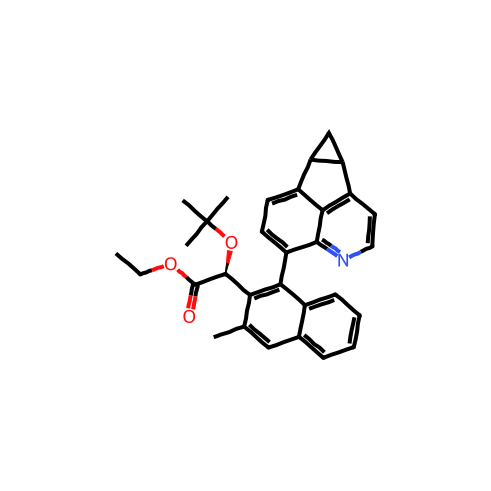 CCOC(=O)[C@@H](OC(C)(C)C)c1c(C)cc2ccccc2c1-c1ccc2c3c(ccnc13)C1CC21